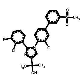 CC(C)(O)c1cn(-c2ccc(-c3cccc(S(C)(=O)=O)c3)cc2Cl)c(-c2cccc(F)c2Cl)n1